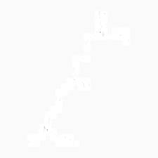 CCN(C)CCCC(=O)CCCN(C)CC